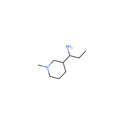 CCC(N)C1CCCN(C)C1